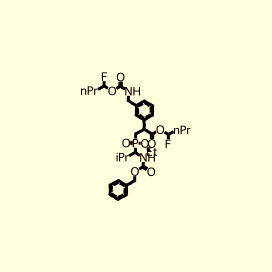 CCCC(F)OC(=O)NCc1cccc(C(CP(=O)(OCC)C(NC(=O)OCc2ccccc2)C(C)C)C(=O)OC(F)CCC)c1